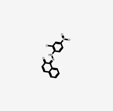 O=C1C=Cc2ccccc2C1=NNc1ccc([N+](=O)[O-])cc1Cl